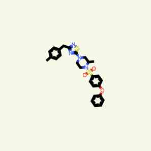 Cc1ccc(Cc2nsc(N3CCN(S(=O)(=O)c4ccc(Oc5ccccc5)cc4)C(C)C3)n2)cc1